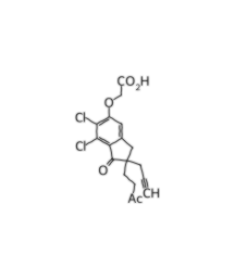 C#CCC1(CCC(C)=O)Cc2cc(OCC(=O)O)c(Cl)c(Cl)c2C1=O